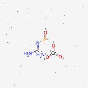 NC(N)=NP=O.[O]=[Cr](=[O])=[O]